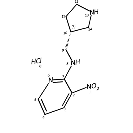 Cl.O=[N+]([O-])c1cccnc1NC[C@@H]1CCNC1